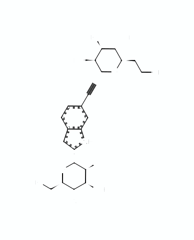 OCC[C@H]1O[C@H](C#Cc2ccc3cc([C@H]4O[C@H](CO)[C@@H](O)[C@H](O)[C@@H]4O)[nH]c3c2)[C@@H](O)[C@@H](O)[C@@H]1O